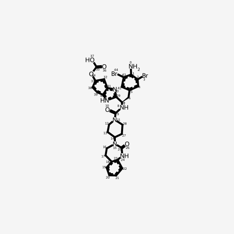 Nc1c(Br)cc(C[C@@H](NC(=O)N2CCC(N3CCc4ccccc4NC3=O)CC2)c2nc3cc(OC(=O)O)ccc3[nH]2)cc1Br